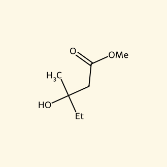 CCC(C)(O)CC(=O)OC